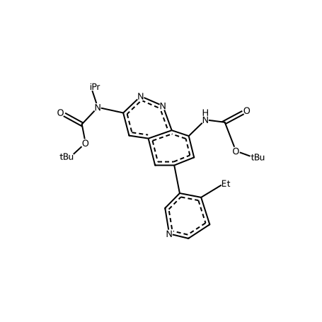 CCc1ccncc1-c1cc(NC(=O)OC(C)(C)C)c2nnc(N(C(=O)OC(C)(C)C)C(C)C)cc2c1